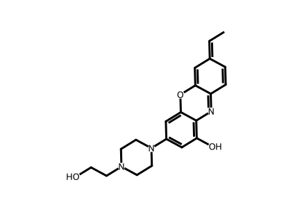 CC=c1ccc2c(c1)Oc1cc(N3CCN(CCO)CC3)cc(O)c1N=2